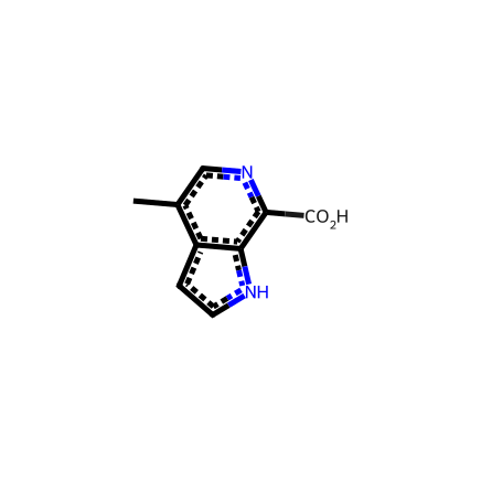 Cc1cnc(C(=O)O)c2[nH]ccc12